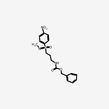 CN=S(=O)(CCCNC(=O)OCc1ccccc1)c1ccc([N+](=O)[O-])cc1